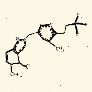 Cc1cc(Cn2cc3c(n2)C=CN(C)C3Cl)cnc1CCC(F)(F)F